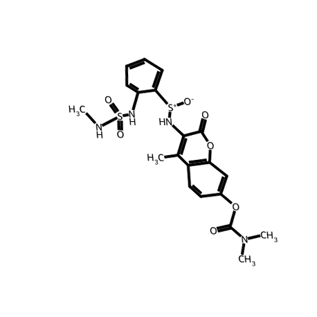 CNS(=O)(=O)Nc1ccccc1[S+]([O-])Nc1c(C)c2ccc(OC(=O)N(C)C)cc2oc1=O